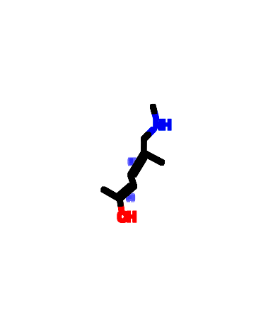 CNC/C(C)=C/C=C(\C)O